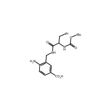 CC(C)CC(NC(=O)OC(C)(C)C)C(=O)NCc1cc(C(=O)O)ccc1N